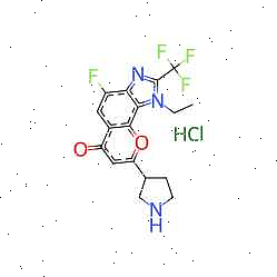 CCn1c(C(F)(F)F)nc2c(F)cc3c(=O)cc(C4CCNC4)oc3c21.Cl